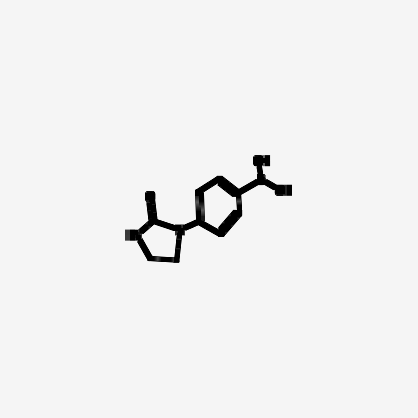 O=C1NCCN1c1ccc(B(O)O)cc1